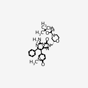 Cn1cc(-c2c(-c3ccccc3)nc(N)n3c(=O)n(C[C@@H]4CN(C(=O)OC(C)(C)C)CCO4)nc23)ccc1=O